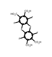 O=C(O)c1c(F)c2c(c(F)c1C(=O)O)Sc1c(F)c(C(=O)O)c(C(=O)O)c(F)c1S2